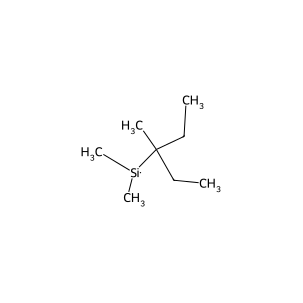 CCC(C)(CC)[Si](C)C